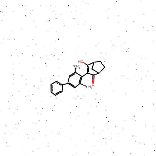 Cc1cc(-c2ccccc2)cc(C)c1C1=C(O)C2CCC(C2)C1=O